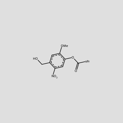 CCCC(=O)Oc1cc([N+](=O)[O-])c(CO)cc1OC